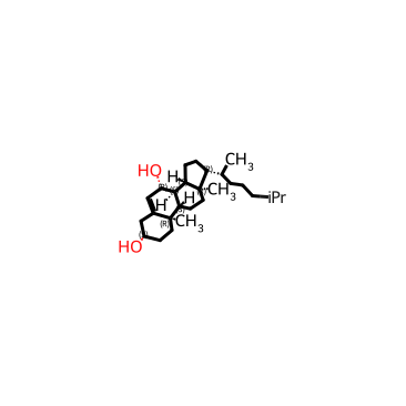 CC(C)CCCC(C)[C@H]1CC[C@H]2[C@@H]3[C@@H](O)C=C4C[C@@H](O)CC[C@]4(C)[C@H]3CC[C@]12C